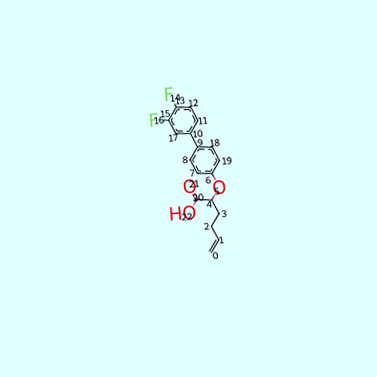 C=CCCC(Oc1ccc(-c2ccc(F)c(F)c2)cc1)C(=O)O